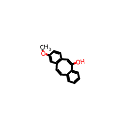 COc1ccc2c(c1)/C=C\c1ccccc1C(O)=C2